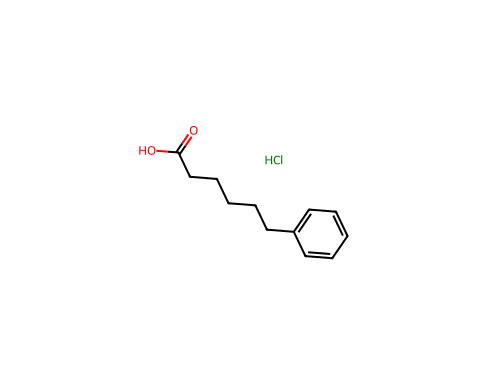 Cl.O=C(O)CCCCCc1ccccc1